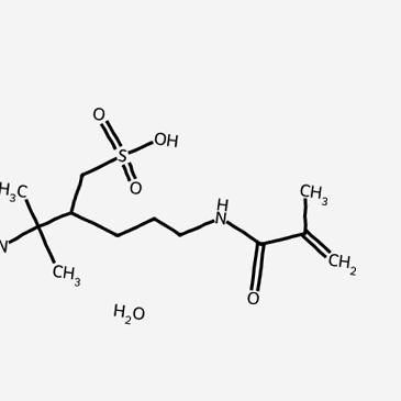 C=C(C)C(=O)NCCCC(CS(=O)(=O)O)C(C)(C)N.O